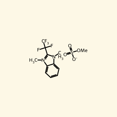 COS(=O)(=O)[O-].Cn1c(C(F)(F)C(F)(F)F)[n+](C)c2ccccc21